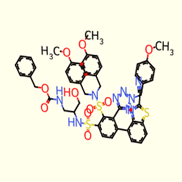 COc1ccc(CN(Cc2ccc(OC)cc2)S(=O)(=O)c2c(S(=O)(=O)NC(CO)CNC(=O)OCc3ccccc3)ccc(-c3cccc4sc(C#N)nc34)c2-c2nnn(Cc3ccc(OC)cc3)n2)cc1